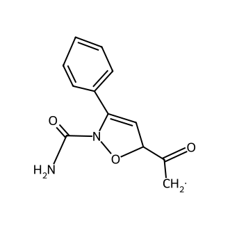 [CH2]C(=O)C1C=C(c2ccccc2)N(C(N)=O)O1